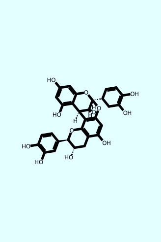 OC1=C(O)CC([C@]23Oc4cc(O)cc(O)c4[C@H](c4c(cc(O)c5c4O[C@H](c4ccc(O)c(O)c4)[C@@H](O)C5)O2)[C@H]3O)C=C1